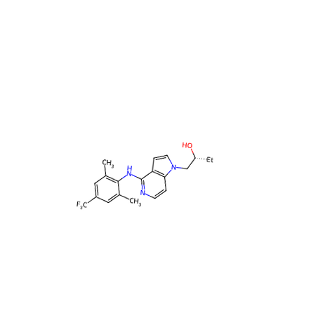 CC[C@@H](O)Cn1ccc2c(Nc3c(C)cc(C(F)(F)F)cc3C)nccc21